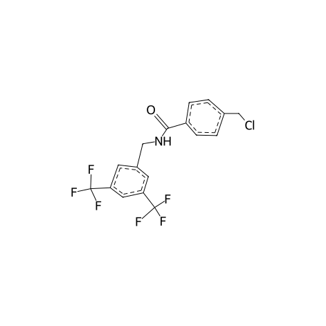 O=C(NCc1cc(C(F)(F)F)cc(C(F)(F)F)c1)c1ccc(CCl)cc1